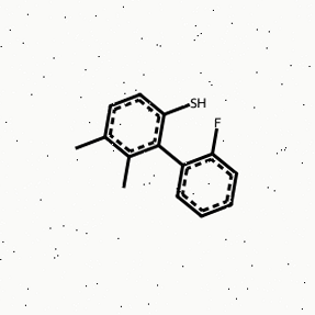 Cc1ccc(S)c(-c2ccccc2F)c1C